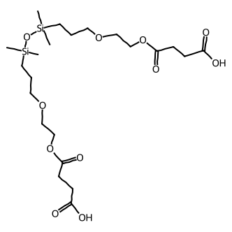 C[Si](C)(CCCOCCOC(=O)CCC(=O)O)O[Si](C)(C)CCCOCCOC(=O)CCC(=O)O